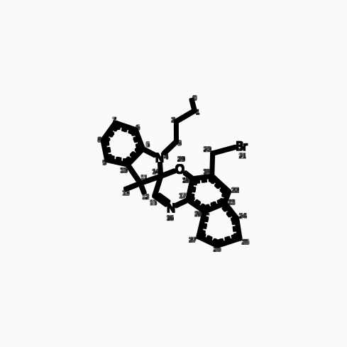 CCCCN1c2ccccc2C(C)(C)C12C=Nc1c(c(CBr)cc3ccccc13)O2